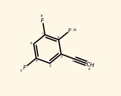 C#Cc1cc(F)cc(F)c1F